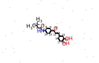 CC(C)CC(=O)Nc1ccc(C(=O)/C=C/c2ccc(O)c(O)c2)cc1